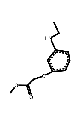 CCNc1cccc(CCC(=O)OC)c1